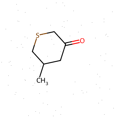 CC1CSCC(=O)C1